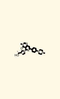 C[C@@H](O)[C@H]1CCN(c2nc(-c3ccc(N4CCN(C)CC4)cc3)cc3ncn(C)c(=O)c23)C1